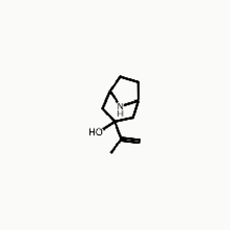 C=C(C)C1(O)CC2CCC(C1)N2